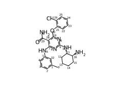 Cc1cccc(Nc2nc(N[C@@H]3CCCC[C@@H]3N)nc(Oc3ccccc3Cl)c2C(N)=O)c1